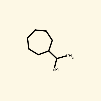 CCCC(C)C1CCCCCC1